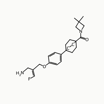 CC1(C)CN(C(=O)C23CCC(c4ccc(OCC(=CF)CN)cc4)(CC2)CC3)C1